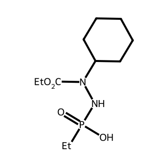 CCOC(=O)N(NP(=O)(O)CC)C1CCCCC1